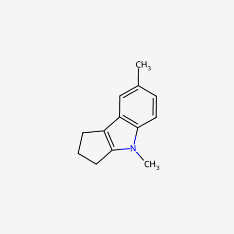 Cc1ccc2c(c1)c1c(n2C)CCC1